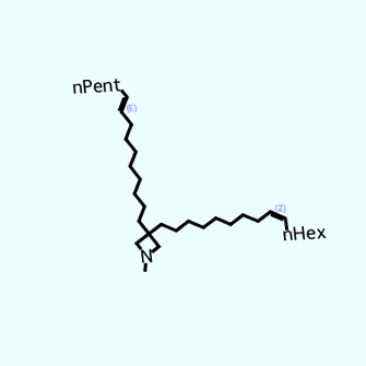 CCCCC/C=C/CCCCCCCCC1(CCCCCCCC/C=C\CCCCCC)CN(C)C1